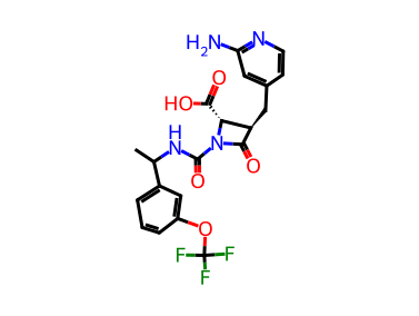 CC(NC(=O)N1C(=O)[C@H](Cc2ccnc(N)c2)[C@H]1C(=O)O)c1cccc(OC(F)(F)F)c1